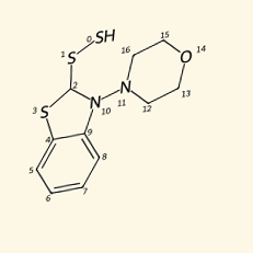 SSC1Sc2ccccc2N1N1CCOCC1